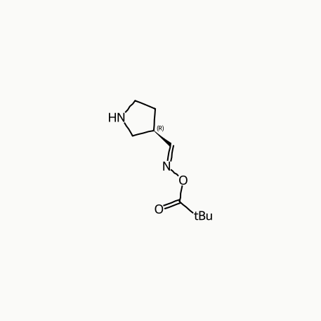 CC(C)(C)C(=O)ON=C[C@@H]1CCNC1